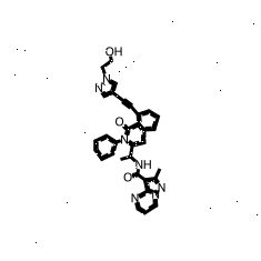 Cc1nn2cccnc2c1C(=O)NC(C)c1cc2cccc(C#Cc3cnn(CCO)c3)c2c(=O)n1-c1ccccc1